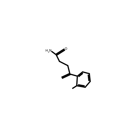 C=C(CCC(N)=O)c1ccccc1C